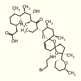 CCC(C(=O)[C@@H](C)[C@@H](O)[C@H](C)[C@@H]1O[C@@H](CC(=O)O)CC[C@@H]1C)[C@H]1O[C@]2(C=C[C@@H](NCCBr)[C@]3(CC[C@@](C)([C@H]4CCC[C@H](C)O4)O3)O2)[C@H](C)C[C@@H]1C